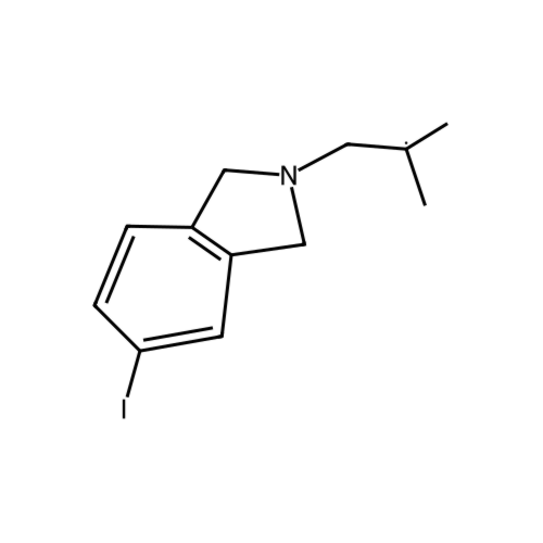 C[C](C)CN1Cc2ccc(I)cc2C1